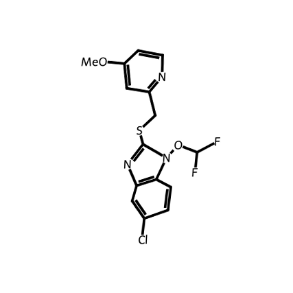 COc1ccnc(CSc2nc3cc(Cl)ccc3n2OC(F)F)c1